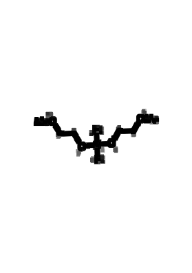 CC[Si](CC)(OCCOC)OCCOC